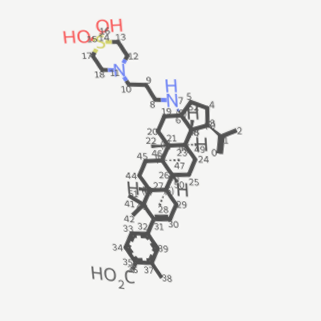 C=C(C)[C@@H]1CC[C@]2(NCCCN3CCS(O)(O)CC3)CC[C@]3(C)[C@H](CC[C@@H]4[C@@]5(C)CC=C(c6ccc(C(=O)O)c(C)c6)C(C)(C)[C@@H]5CC[C@]43C)[C@@H]12